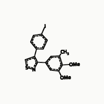 COc1cc(-c2nscc2-c2ccc(I)cc2)cc(C)c1OC